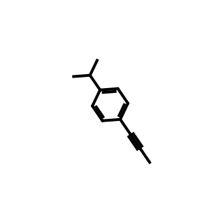 CC#Cc1ccc(C(C)C)cc1